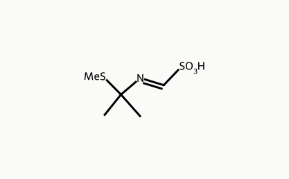 CSC(C)(C)N=CS(=O)(=O)O